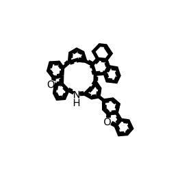 C1=Cc2c(c3c4cccc(c4)c4cccc5oc6cccc([nH]c7cc(-c8ccc9c(c8)oc8ccccc89)cc(c7)c3c3ccccc23)c6c54)CC1